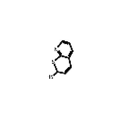 SC1C=Cc2cccnc2S1